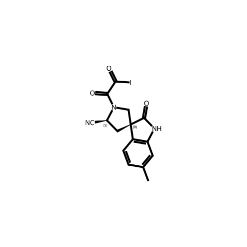 Cc1ccc2c(c1)NC(=O)[C@]21C[C@@H](C#N)N(C(=O)C(=O)I)C1